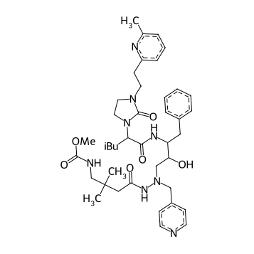 CCC(C)C(C(=O)NC(Cc1ccccc1)C(O)CN(Cc1ccncc1)NC(=O)CC(C)(C)CNC(=O)OC)N1CCN(CCc2cccc(C)n2)C1=O